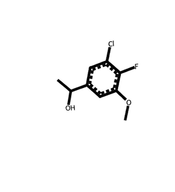 COc1cc(C(C)O)cc(Cl)c1F